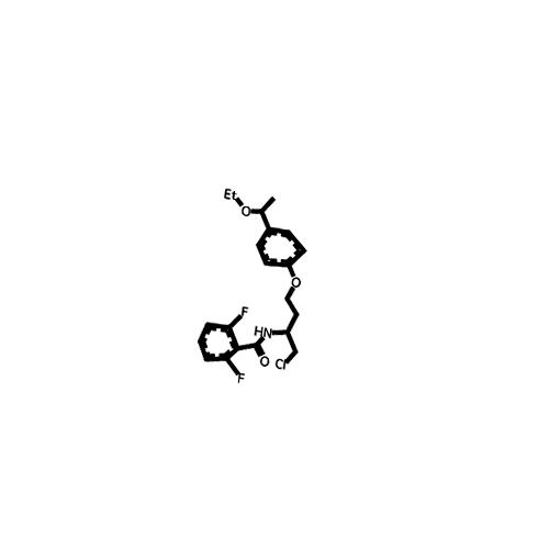 CCOC(C)c1ccc(OCCC(CCl)NC(=O)c2c(F)cccc2F)cc1